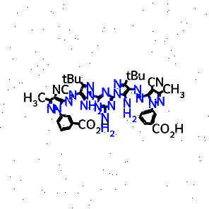 [C-]#[N+]c1c(C)nn(-c2cccc(C(=O)O)c2)c1N=Nc1c(C(C)(C)C)nn(-c2nc(N)nc(-n3nc(C(C)(C)C)c(N=Nc4c(C#N)c(C)nn4-c4cccc(C(=O)O)c4)c3N)n2)c1N